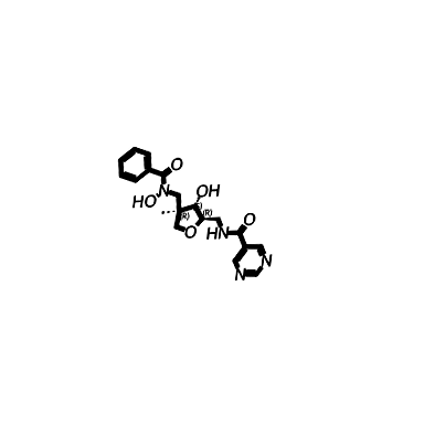 C[C@@]1(CN(O)C(=O)c2ccccc2)CO[C@H](CNC(=O)c2cncnc2)[C@H]1O